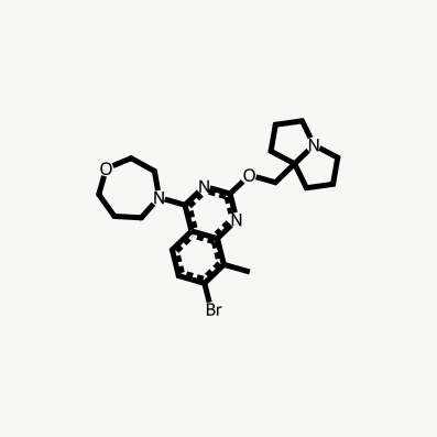 Cc1c(Br)ccc2c(N3CCCOCC3)nc(OCC34CCCN3CCC4)nc12